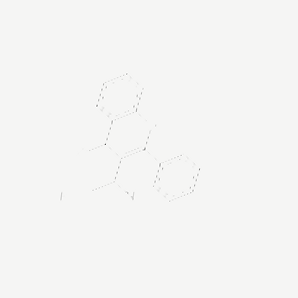 CC(N)C1=C(c2ccccc2)Oc2ccccc2C1O.Cl